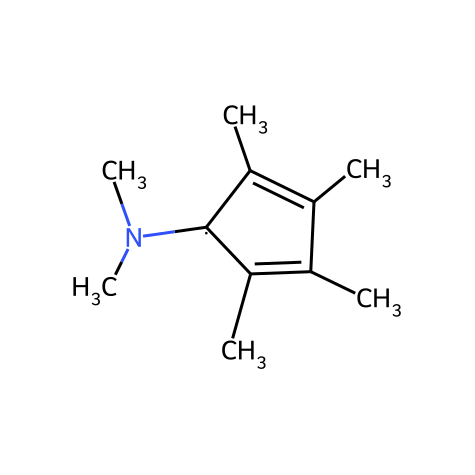 CC1=C(C)C(C)=C(C)[C]1N(C)C